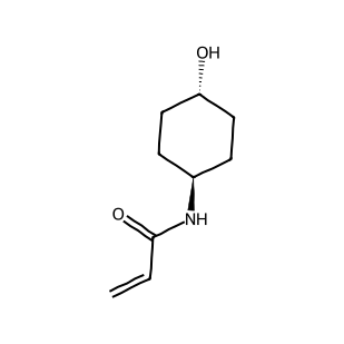 C=CC(=O)N[C@H]1CC[C@H](O)CC1